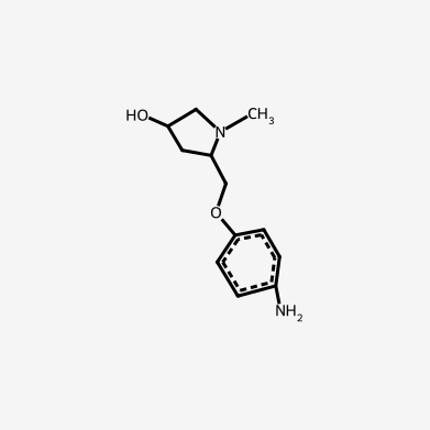 CN1CC(O)CC1COc1ccc(N)cc1